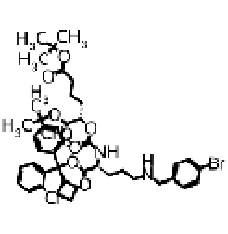 CC(C)(C)OC(=O)CCC[C@H](OC(=O)N[C@@H](CCCNCc1ccc(Br)cc1)C(=O)OC(c1ccccc1)(c1ccccc1Cl)C1CCC1)C(=O)OC(C)(C)C